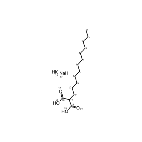 CCCCCCCCCCCCC(C(=O)O)C(=O)O.[KH].[NaH]